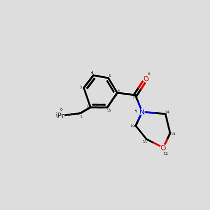 [CH2]C(C)Cc1cccc(C(=O)N2CCOCC2)c1